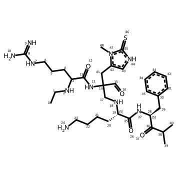 CCNC(CCCNC(=N)N)C(=O)NC(C=O)(CN[C@@H](CCCCN)C(=O)N[C@@H](Cc1ccccc1)C(=O)C(C)C)Cc1c[nH]c(=S)n1C